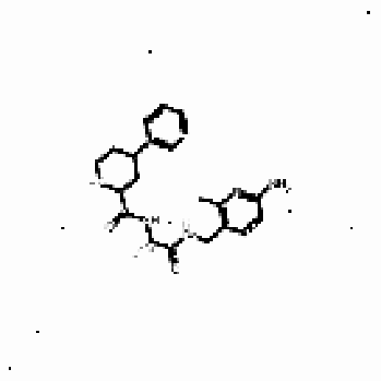 Cc1nc(N)ccc1CNC(=O)[C@H](C)NC(=O)C1CC(c2ccccc2)CCN1